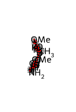 COc1ccc(C2=CN3C(=O)c4cc(C)c(OCCCCCOc5cc6c(cc5OC)C(=O)N5C=C(c7cccc(N)c7)C[C@H]5C=N6)cc4N=C[C@@H]3C2)cc1